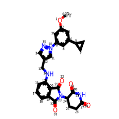 CC(C)Oc1cc(C2CC2)cc(-n2cc(CNc3cccc4c3C(=O)N(C3CCC(=O)NC3=O)C4=O)cn2)c1